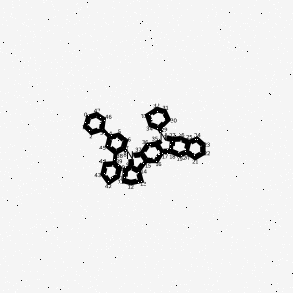 c1ccc(-c2ccc(-n3c4ccccc4c4cc5c6cc7ccccc7cc6n(-c6ccccc6)c5cc43)c(-c3ccccc3)c2)cc1